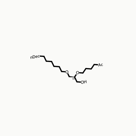 CCCCCCCCCCCCCCCCOC[C@H](CO)OCCCCC(C)=O